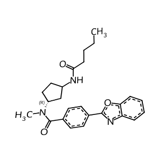 CCCCC(=O)NC1CC[C@@H](N(C)C(=O)c2ccc(-c3nc4ccccc4o3)cc2)C1